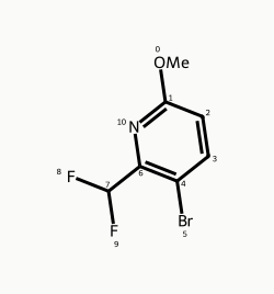 COc1ccc(Br)c(C(F)F)n1